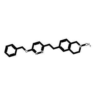 CN1CCc2cc(CCc3ccc(OCc4ccccc4)nn3)ccc2C1